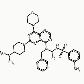 CCC(NS(=O)(=O)c1cccc(C)c1)N(Cc1ccccc1)c1ncnc2c(N3CCOCC3)nc(N3CCC(N(C)C)CC3)nc12